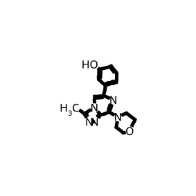 Cc1nnc2c(N3CCOCC3)nc(-c3cccc(O)c3)cn12